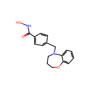 O=C(NO)c1ccc(CN2CCCOc3ccccc32)cc1